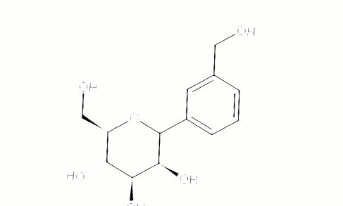 OCc1cccc(C2O[C@H](CO)[C@@H](O)[C@H](O)[C@@H]2O)c1